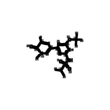 Cc1cc(-c2nc(NS(=O)(=O)C(C)C)nc(OC(C)(C)C)n2)cn(C)c1=O